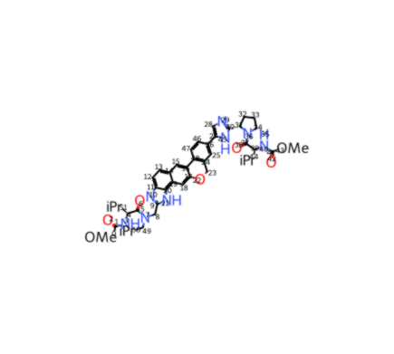 COC(=O)N[C@H](C(=O)N(Cc1nc2ccc3cc4c(cc3c2[nH]1)OCc1cc(-c2cnc([C@@H]3CC[C@H](C)N3C(=O)[C@@H](NC(=O)OC)C(C)C)[nH]2)ccc1-4)CC(C)C)C(C)C